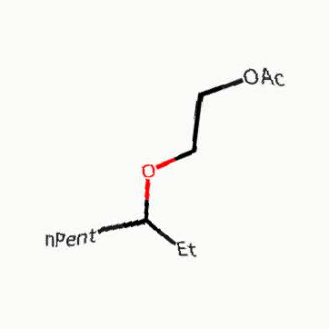 CCCCCC(CC)OCCOC(C)=O